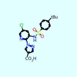 CC(C)(C)c1ccc(S(=O)(=O)Nc2cc(Cl)cnc2-n2cc(C(=O)O)cn2)cc1